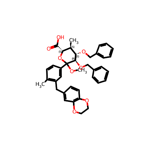 COC1(c2ccc(C)c(Cc3ccc4c(c3)OCCO4)c2)O[C@H](C(=O)O)[C@@H](C)[C@H](OCc2ccccc2)[C@H]1OCc1ccccc1